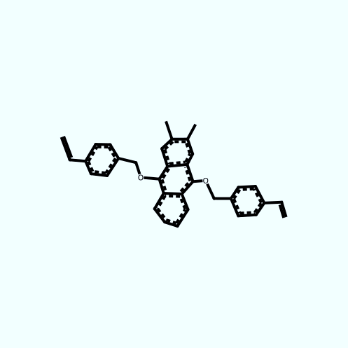 C=Cc1ccc(COc2c3ccccc3c(OCc3ccc(C=C)cc3)c3cc(C)c(C)cc23)cc1